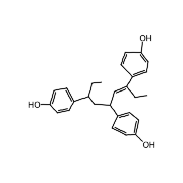 CCC(=CC(CC(CC)c1ccc(O)cc1)c1ccc(O)cc1)c1ccc(O)cc1